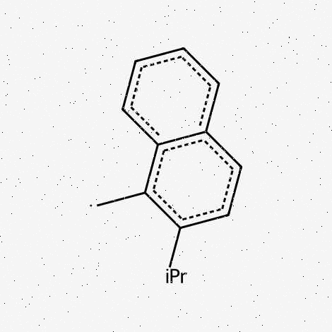 [CH2]c1c(C(C)C)ccc2ccccc12